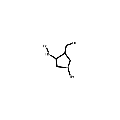 CC(C)NC1CN(C(C)C)CC1CO